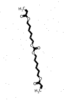 C=CC(=O)OCCCCCCOC(=O)OCCCCCCOC(=O)C=C